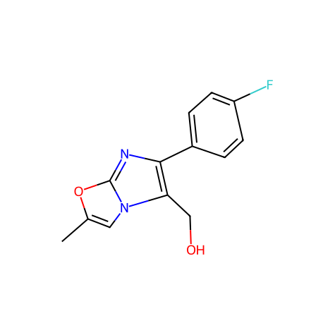 Cc1cn2c(CO)c(-c3ccc(F)cc3)nc2o1